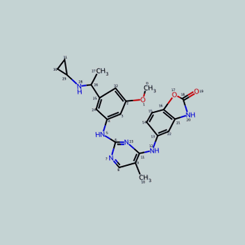 COc1cc(Nc2ncc(C)c(Nc3ccc4oc(=O)[nH]c4c3)n2)cc(C(C)NC2CC2)c1